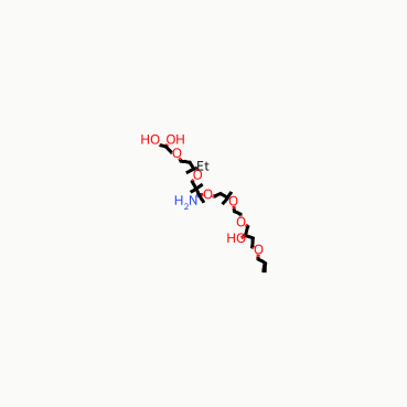 C=CCOCCC(O)COCCOC(C)(C)CCOC(C)(N)C(C)(C)COC(C)(CC)CCOCC(O)CO